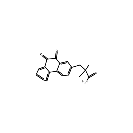 CC(C)(Cc1ccc2c(c1)C(=O)C(=O)c1ccccc1-2)C(N)=O